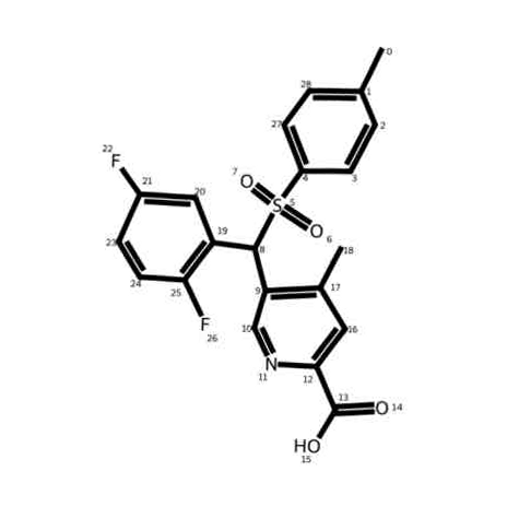 Cc1ccc(S(=O)(=O)C(c2cnc(C(=O)O)cc2C)c2cc(F)ccc2F)cc1